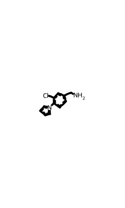 NCc1ccc(-n2cccc2)c(Cl)c1